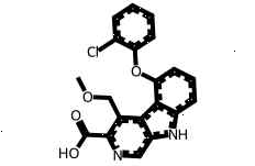 COCc1c(C(=O)O)ncc2[nH]c3cccc(Oc4ccccc4Cl)c3c12